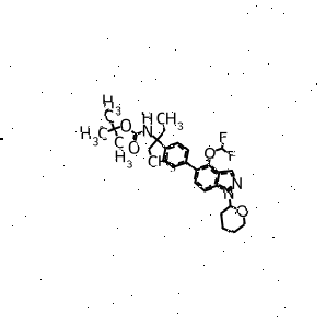 CCC(CC)(NC(=O)OC(C)(C)C)c1ccc(-c2ccc3c(cnn3C3CCCCO3)c2OC(F)F)cc1